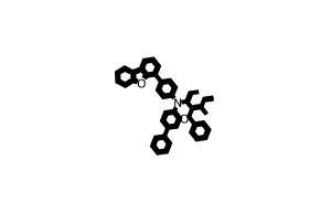 C=C/C(C)=C(C(=O)c1ccccc1)\C(=C/C)N(c1ccc(-c2ccccc2)cc1)c1ccc(-c2cccc3c2oc2ccccc23)cc1